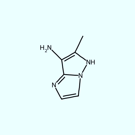 Cc1[nH]n2ccnc2c1N